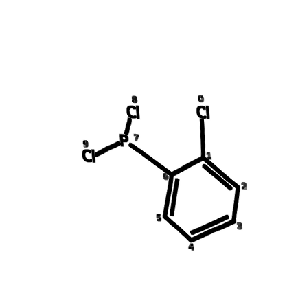 Clc1ccccc1P(Cl)Cl